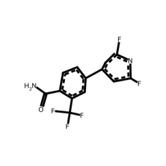 NC(=O)c1ccc(-c2cc(F)nc(F)c2)cc1C(F)(F)F